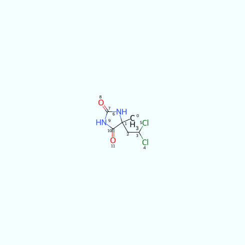 CC1(CC(Cl)Cl)NC(=O)NC1=O